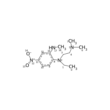 CCN(CCN(C)C)c1ccc([N+](=O)[O-])cc1NC